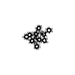 c1ccc(-c2cc(-c3ccccc3)nc(-n3c4ccccc4c4cc5c(cc43)N3c4ccccc4N(c4ccccc4)c4cccc(c43)-c3c-5ccc4ccccc34)n2)cc1